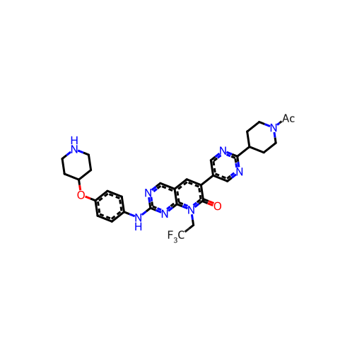 CC(=O)N1CCC(c2ncc(-c3cc4cnc(Nc5ccc(OC6CCNCC6)cc5)nc4n(CC(F)(F)F)c3=O)cn2)CC1